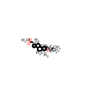 COC(=O)C[C@H]1CC=C2C3=C(CC[C@@]21C)[C@@]1(C)CCC(O[Si](C)(C)C(C)(C)C)C(C)(C)C1CC3